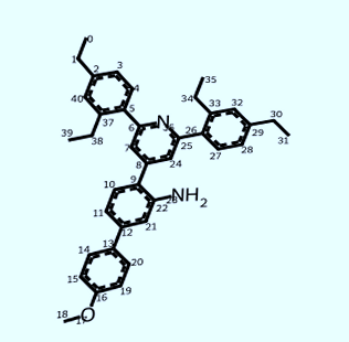 CCc1ccc(-c2cc(-c3ccc(-c4ccc(OC)cc4)cc3N)cc(-c3ccc(CC)cc3CC)n2)c(CC)c1